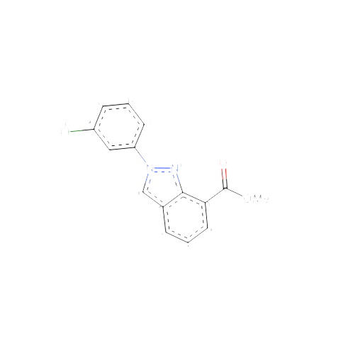 COC(=O)c1cccc2cn(-c3cccc(Cl)c3)nc12